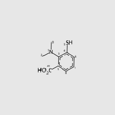 CN(C)c1c(S)cccc1C(=O)O